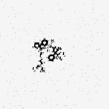 CC(CC(C#N)(c1ccccc1)C(C)C)N(C)C.CCN(CC)CCOCCOC(=O)C1(c2ccccc2)CCCC1